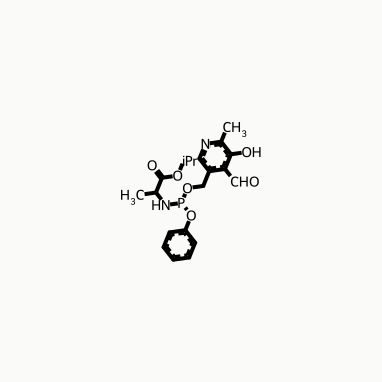 Cc1ncc(COP(NC(C)C(=O)OC(C)C)Oc2ccccc2)c(C=O)c1O